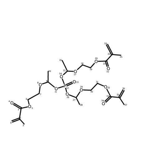 C=C(C)C(=O)OCCOC(C)OP(=O)(OC(C)OCCOC(=O)C(=C)C)OC(C)OCCOC(=O)C(=C)C